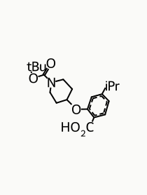 CC(C)c1ccc(C(=O)O)c(OC2CCN(C(=O)OC(C)(C)C)CC2)c1